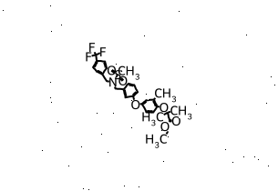 CCOC(=O)C(C)(C)Oc1ccc(Oc2cccc(CN(Cc3ccc(C(F)(F)F)cc3)S(C)(=O)=O)c2)cc1C